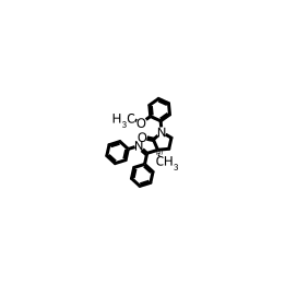 COc1ccccc1N1CC[C@@](C)(C(=Nc2ccccc2)c2ccccc2)C1=O